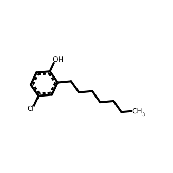 CCCCCCCc1cc(Cl)ccc1O